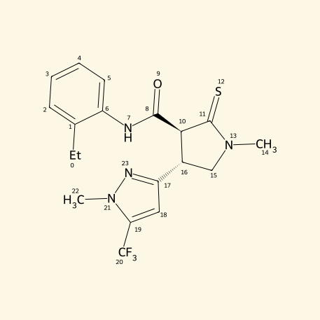 CCc1ccccc1NC(=O)[C@H]1C(=S)N(C)C[C@@H]1c1cc(C(F)(F)F)n(C)n1